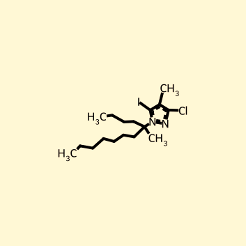 CCCCCCCC(C)(CCCC)n1nc(Cl)c(C)c1I